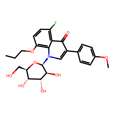 CCCOc1ccc(F)c2c(=O)c(-c3ccc(OC)cc3)cn([C@@H]3O[C@H](CO)[C@@H](O)[C@@H](O)[C@@H]3O)c12